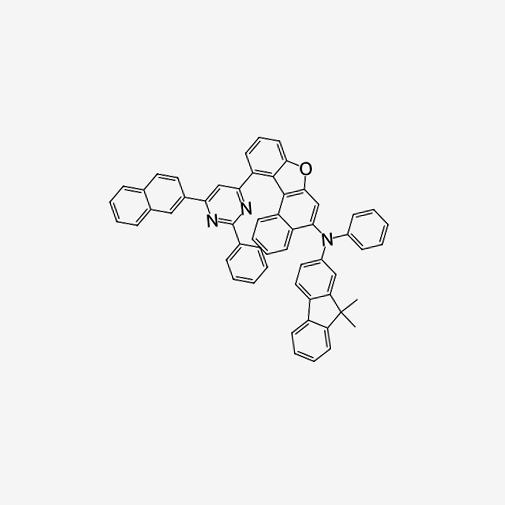 CC1(C)c2ccccc2-c2ccc(N(c3ccccc3)c3cc4oc5cccc(-c6cc(-c7ccc8ccccc8c7)nc(-c7ccccc7)n6)c5c4c4ccccc34)cc21